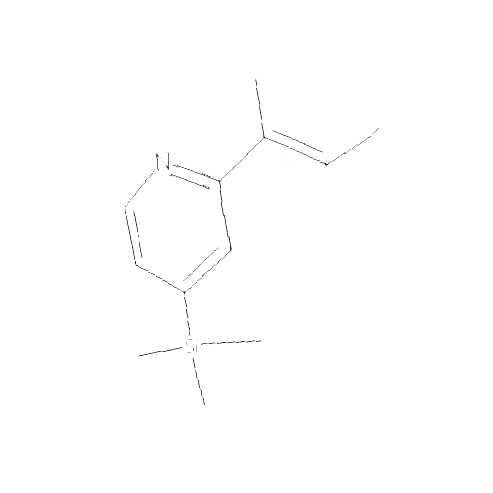 C/C=C(\C)c1cc([Si](C)(C)C)ccn1